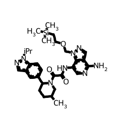 CC1CCC(c2ccc3c(cnn3C(C)C)c2)N(C(=O)C(=O)Nc2cnc(N)c3cnn(COCC[Si](C)(C)C)c23)C1